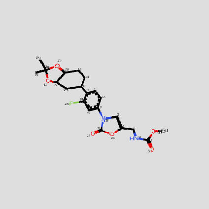 CC(C)(C)OC(=O)NCC1CN(c2ccc(C3CCC4OC(C)(C)OC4C3)c(F)c2)C(=O)O1